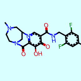 Cc1cc(F)c(CNC(=O)c2cn3c(c(O)c2=O)C(=O)N2CCN(C)CC3C2)c(F)c1